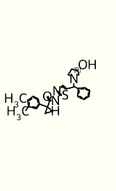 Cc1ccc(C2(C(=O)Nc3ncc(C(c4ccccc4)N4CC[C@@H](O)C4)s3)CC2)cc1C